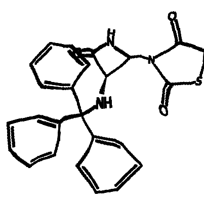 O=C1NC(N2C(=O)CSC2=O)[C@@H]1NC(c1ccccc1)(c1ccccc1)c1ccccc1